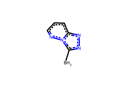 Bc1nnc2cccnn12